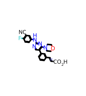 N#Cc1cc(Nc2ncc(-c3cccc(/C=C/C(=O)O)c3)c(N3CCOCC3)n2)ccc1F